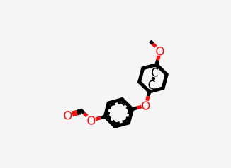 COC12CCC(Oc3ccc(OC=O)cc3)(CC1)CC2